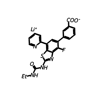 CCNC(=O)Nc1nc2c(F)c(-c3cccc(C(=O)[O-])c3)cc(-c3ccccn3)c2s1.[Li+]